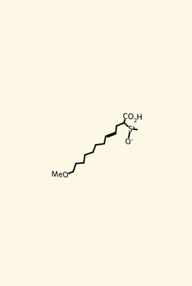 COCCCCCCC/C=C/CC(C(=O)O)[S+](C)[O-]